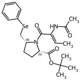 CC=C(NC(C)=O)C(=O)N1[C@@H](C[Se]c2ccccc2)CC[C@H]1C(=O)OC(C)(C)C